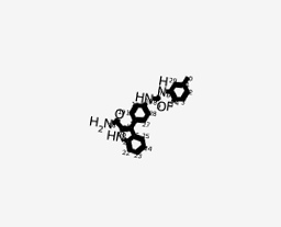 Cc1ccc(F)c(NC(=O)Nc2ccc(-c3c(C(N)=O)[nH]c4ccccc34)cc2)c1